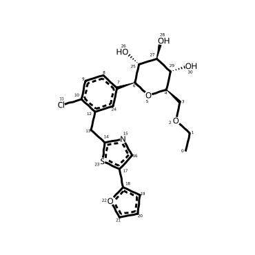 CCOC[C@H]1O[C@@H](c2ccc(Cl)c(Cc3ncc(-c4ccco4)s3)c2)[C@H](O)[C@@H](O)[C@@H]1O